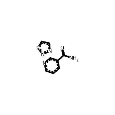 NC(=O)c1cccnc1.c1csnn1